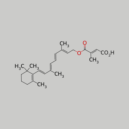 CC(C=CC1=C(C)CCCC1(C)C)=CC=CC(C)=CCOC(=O)/C(C)=C/C(=O)O